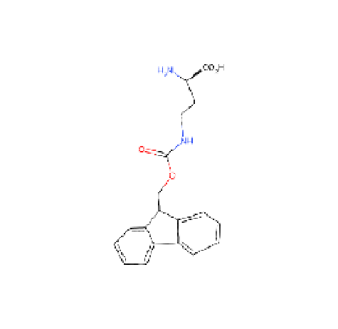 N[C@H](CCNC(=O)OCC1c2ccccc2-c2ccccc21)C(=O)O